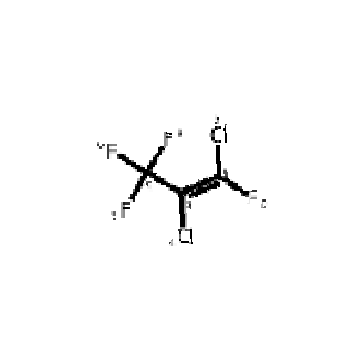 FC(Cl)=C(Cl)C(F)(F)F